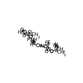 Cc1cc(N2C[C@H]3C[C@@H]2CN3CC2CCC3(CC2)CN(c2cc4c(c(C(F)(F)F)c2)CN(c2cccc([C@]5(Cc6nncn6C)C[C@@H](C)C5)c2)C4=O)C3)c(F)c2c1C(=O)N(C1CCC(=O)NC1=O)C2